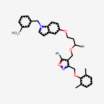 Cc1cccc(C)c1OCc1noc(C(C)C)c1COC(CCOc1ccc2c(ccn2Cc2cccc(C(=O)O)c2)c1)C(C)C